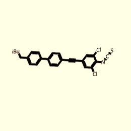 CCC(C)Cc1ccc(-c2ccc(C#Cc3cc(Cl)c(N=C=S)c(Cl)c3)cc2)cc1